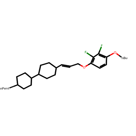 CCCCCC1CCC(C2CCC(/C=C/COc3ccc(OCCCC)c(F)c3F)CC2)CC1